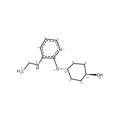 CCNc1cccnc1O[C@H]1CC[C@H](O)CC1